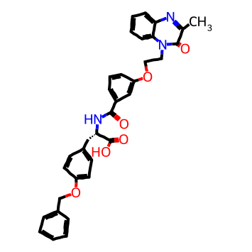 Cc1nc2ccccc2n(CCOc2cccc(C(=O)N[C@@H](Cc3ccc(OCc4ccccc4)cc3)C(=O)O)c2)c1=O